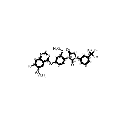 COc1cc2c(Oc3ccc(N4C(=O)CN(c5cccc(C(F)(F)F)c5)C4=O)c(OC)c3)ncnc2cc1O